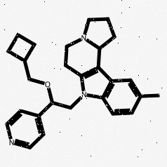 Cc1ccc2c(c1)c1c(n2CC(OCC2CCC2)c2ccncc2)CCN2CCCC12